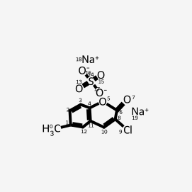 Cc1ccc2oc(=O)c(Cl)cc2c1.O=S(=O)([O-])[O-].[Na+].[Na+]